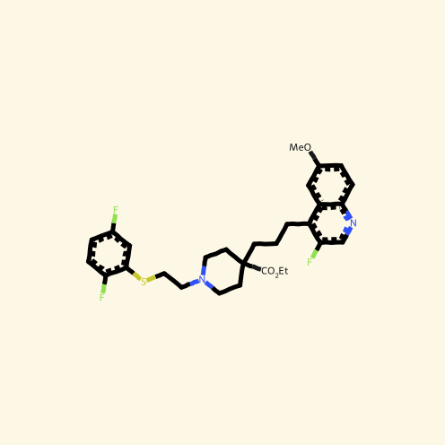 CCOC(=O)C1(CCCc2c(F)cnc3ccc(OC)cc23)CCN(CCSc2cc(F)ccc2F)CC1